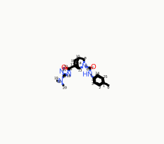 Cc1ccc(NC(=O)N2CC3CCC2C(c2nc(N(C)C)no2)C3)cc1